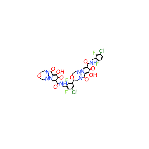 O=C(NCc1c(F)c(Cl)cc(C2CN3CN(CCO2)n2cc(C(=O)NCc4c(F)ccc(Cl)c4F)c(=O)c(O)c2C3=O)c1F)c1cn2c(c(O)c1=O)C(=O)N1CCOCCN2C1